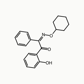 O=C(C(=NOC1CCCCC1)c1ccccc1)c1ccccc1O